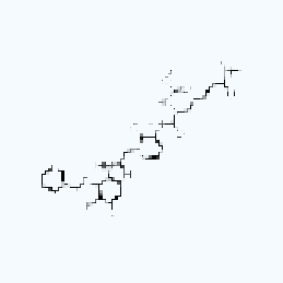 COC(=O)NC(CCC=CC(=O)N(C)C)C(=O)Nc1cccn(Cc2nc3cc(F)c(F)c(OCc4ccccc4)c3[nH]2)c1=O